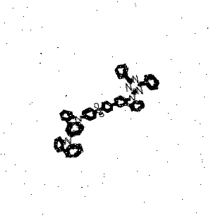 O=S(=O)(c1ccc(-c2ccc3c(c2)c2ccccc2n3-c2nc(-c3ccccc3)nc(-c3ccccc3)n2)cc1)c1ccc(-n2c3ccccc3c3cc(-n4c5ccccc5c5ccccc54)ccc32)cc1